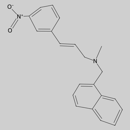 CN(CC=Cc1cccc([N+](=O)[O-])c1)Cc1cccc2ccccc12